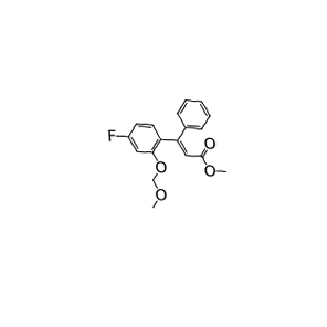 COCOc1cc(F)ccc1C(=CC(=O)OC)c1ccccc1